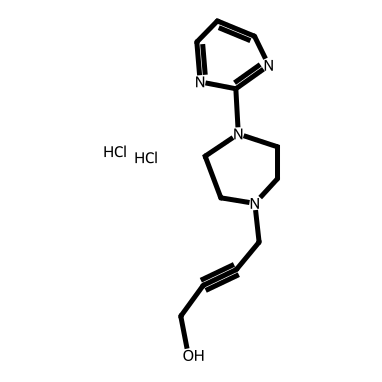 Cl.Cl.OCC#CCN1CCN(c2ncccn2)CC1